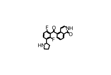 O=C(c1c(F)ccc(C2CCCN2)c1F)c1cccc2c(=O)[nH]ccc12